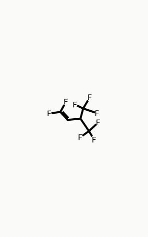 FC(F)=CC(C(F)(F)F)C(F)(F)F